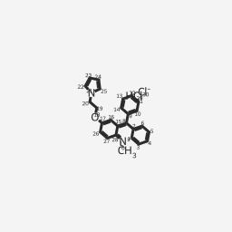 C[n+]1c2ccccc2c(-c2ccccc2)c2cc(OCCn3cccc3)ccc21.Cl.[Cl-]